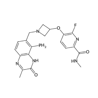 CNC(=O)c1ccc(OC2CN(Cc3ccc4nc(C)c(=O)[nH]c4c3P)C2)c(F)n1